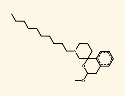 CCCCCCCCCCN1CCCC2(C1)OC(OC)Cc1ccccc12